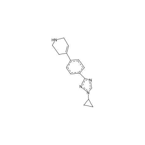 C1=C(c2ccc(-c3ncn(C4CC4)n3)cc2)CCNC1